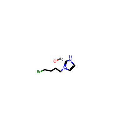 BrCCCC[n+]1cc[nH]c1.CC(=O)[O-]